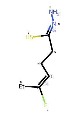 CC/C(F)=C\CC/C(S)=N/N